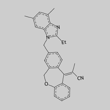 CCc1nc2c(C)cc(C)cc2n1Cc1ccc2c(c1)COc1ccccc1C2=C(C)C#N